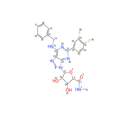 CNC(=O)C1OC(n2cnc3c(NCc4ccccc4)nc(-c4ccc(F)c(F)c4)nc32)C(O)C1O